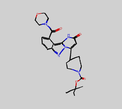 CC(C)(C)OC(=O)N1CCC(c2cc(=O)[nH]c3c4c(C(=O)N5CCOCC5)cccc4nn23)CC1